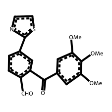 COc1cc(C(=O)c2cc(-c3nccs3)ccc2C=O)cc(OC)c1OC